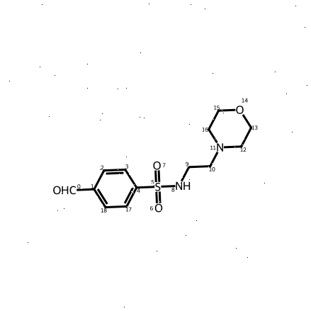 O=Cc1ccc(S(=O)(=O)NCCN2CCOCC2)cc1